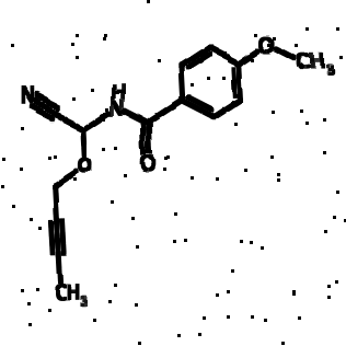 CC#CCOC(C#N)NC(=O)c1ccc(OC)cc1